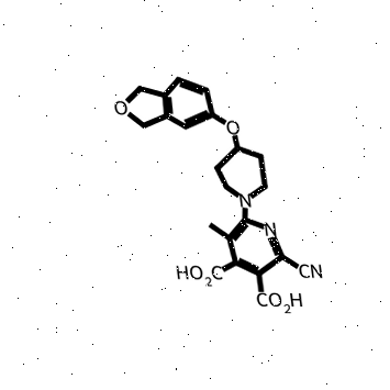 Cc1c(N2CCC(Oc3ccc4c(c3)COC4)CC2)nc(C#N)c(C(=O)O)c1C(=O)O